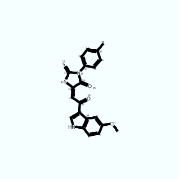 COc1ccc2[nH]cc(C(=O)C=C3SC(=S)N(c4ccc(C)cc4)C3=O)c2c1